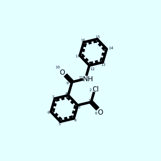 O=C(Cl)c1ccccc1C(=O)Nc1ccccc1